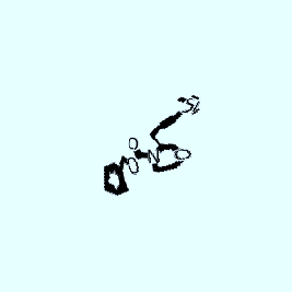 C[Si](C)(C)C#CC[C@H]1COCCN1C(=O)OCc1ccccc1